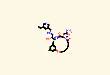 CCc1cncc(CNC[C@@H](O)[C@@H]2Cc3cc(F)cc(c3)OCCCCCC(=O)N(C)[C@@H](CC(N)=O)C(=O)N2)c1